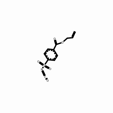 C=CCOC(=O)c1ccc(S(=O)(=O)N=C=O)cc1